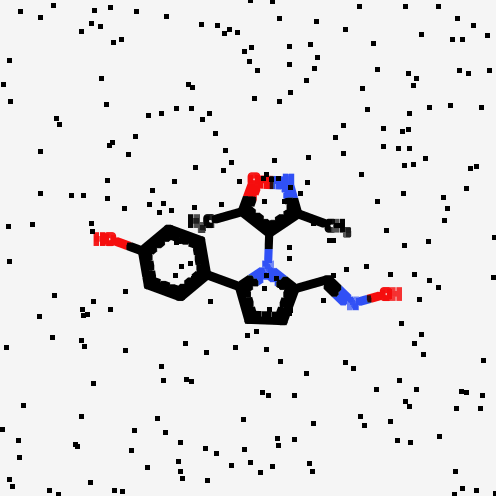 Cc1noc(C)c1-n1c(/C=N/O)ccc1-c1ccc(O)cc1